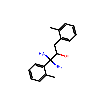 Cc1ccccc1CC(O)C(N)(N)c1ccccc1C